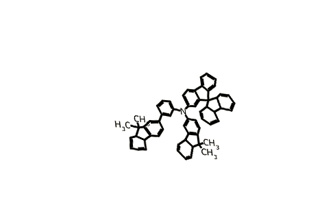 CC1(C)c2ccc(N(c3cccc(-c4ccc5c(c4)C(C)(C)C4C=CC=CC54)c3)c3ccc4c(c3)C3(c5ccccc5-4)C4C=CC=CC4C4C=CC=CC43)cc2C2C=CC=CC21